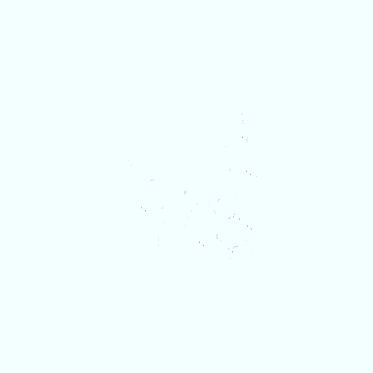 CC(=O)N1CCN(Cc2cc(-c3ccc(NC(=O)OC(C)(C)C)c(F)c3)c3c(N)ncnn23)CC1